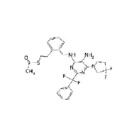 CC(=O)SCCc1ccccc1CNc1nc(C(F)(F)c2ccccc2)nc(N2CCC(F)(F)C2)c1N